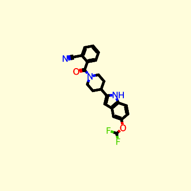 N#Cc1ccccc1C(=O)N1CCC(c2cc3cc(OC(F)F)ccc3[nH]2)CC1